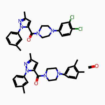 C=O.Cc1cccc(-n2nc(C)cc2C(=O)N2CCN(c3ccc(C)c(C)c3)CC2)c1.Cc1cccc(-n2nc(C)cc2C(=O)N2CCN(c3ccc(Cl)c(Cl)c3)CC2)c1